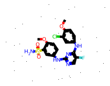 COc1ccc(Nc2nc(Nc3ccc(OC)c(S(N)(=O)=O)c3)ncc2F)cc1Cl